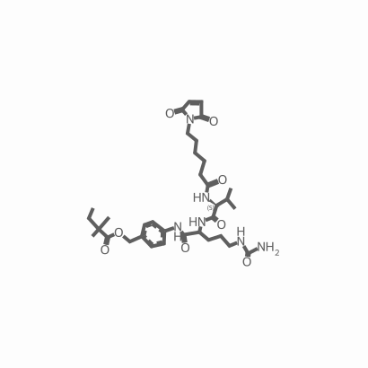 CCC(C)(C)C(=O)OCc1ccc(NC(=O)C(CCCNC(N)=O)NC(=O)[C@@H](NC(=O)CCCCCN2C(=O)C=CC2=O)C(C)C)cc1